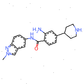 Cn1cc2cc(NC(=O)c3ccc(C4CCNCC4)cc3N)ccc2n1